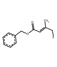 C/C(=C\C(=O)OCc1ccccc1)CF